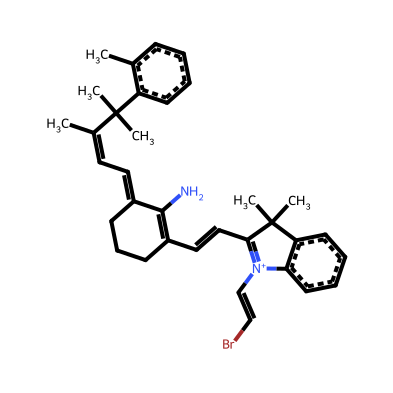 C/C(=C/C=C1\CCCC(/C=C/C2=[N+](/C=C/Br)c3ccccc3C2(C)C)=C1N)C(C)(C)c1ccccc1C